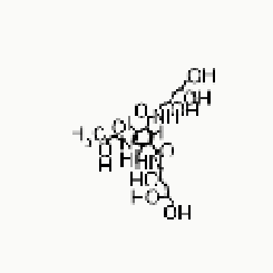 CC(O)C(=O)Nc1c(I)c(C(=O)NCC(O)CC(O)CO)c(I)c(C(=O)NCC(O)CC(O)CO)c1I